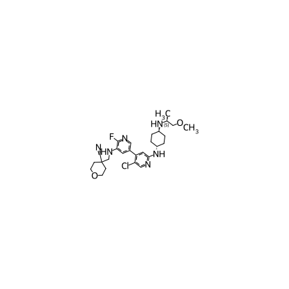 COC[C@H](C)N[C@H]1CC[C@H](Nc2cc(-c3cnc(F)c(NCC4(C#N)CCOCC4)c3)c(Cl)cn2)CC1